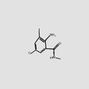 CNC(=O)c1cc(Cl)cc(C)c1N